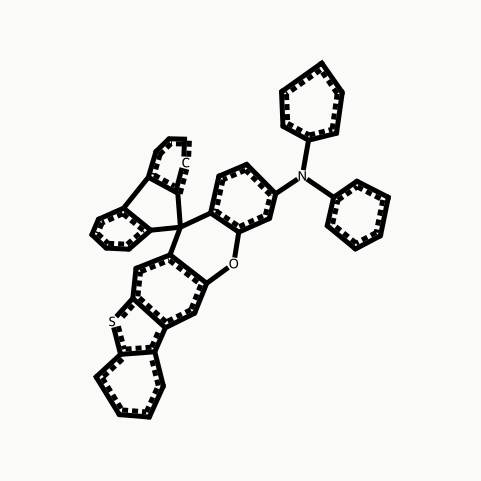 c1ccc(N(c2ccccc2)c2ccc3c(c2)Oc2cc4c(cc2C32c3ccccc3-c3ccccc32)sc2ccccc24)cc1